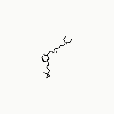 CCN(CC)CCCCNCc1cc(C=NCC2(C)CC2)ccn1